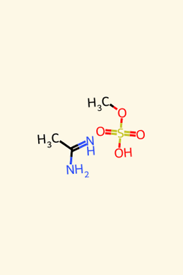 CC(=N)N.COS(=O)(=O)O